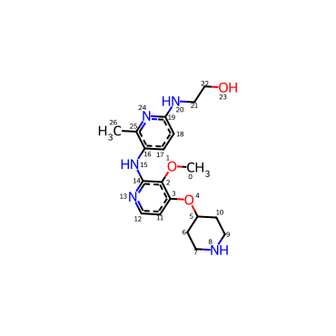 COc1c(OC2CCNCC2)ccnc1Nc1ccc(NCCO)nc1C